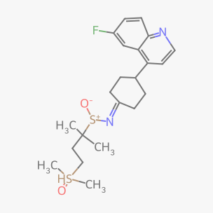 CC(C)(CC[SH](C)(C)=O)[S+]([O-])N=C1CCC(c2ccnc3ccc(F)cc23)CC1